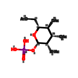 CC(=O)N[C@@H]1[C@H](OP(=O)(O)O)O[C@H](COC(C)=O)[C@@H](OC(C)=O)[C@@H]1OC(C)=O